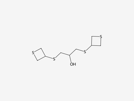 OC(CSC1CSC1)CSC1CSC1